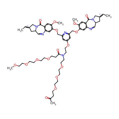 C/C=C1\CC2C=Nc3cc(OCc4cc(OCCN(CCOCCOCCOCCC(C)=O)C(=O)CCOCCOCCOCCOC)cc(COc5cc6c(cc5OC)C(=O)N5C/C(=C/C)CC5C=N6)n4)c(OC)cc3C(=O)N2C1